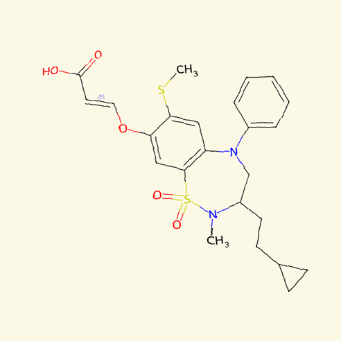 CSc1cc2c(cc1O/C=C/C(=O)O)S(=O)(=O)N(C)C(CCC1CC1)CN2c1ccccc1